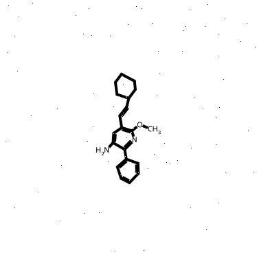 COc1nc(-c2ccccc2)c(N)cc1/C=C/C1CCCCC1